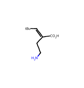 CC(C)(C)C=C(CCN)C(=O)O